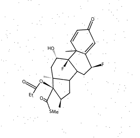 CCC(=O)O[C@]1(C(=O)SC)[C@H](C)CC2C3C[C@H](F)C4=CC(=O)C=CC4(C)[C@@]3(F)[C@@H](O)C[C@@]21C